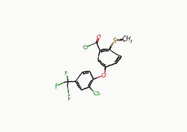 CSc1ccc(Oc2ccc(C(F)(F)F)cc2Cl)cc1C(=O)Cl